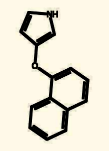 c1ccc2c(Oc3cc[nH]c3)cccc2c1